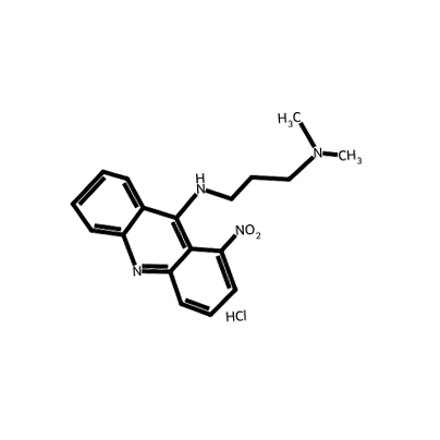 CN(C)CCCNc1c2ccccc2nc2cccc([N+](=O)[O-])c12.Cl